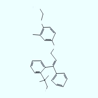 O=C(O)COc1ccc(SC/C=C(/c2ccccc2)c2ccccc2C(F)(F)CF)cc1I